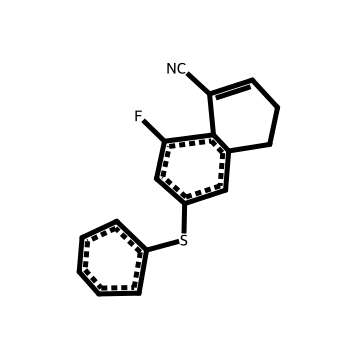 N#CC1=CCCc2cc(Sc3ccccc3)cc(F)c21